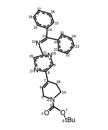 CC(C)(C)OC(=O)N1CC=C(c2cnc(N=C(c3ccccc3)c3ccccc3)cn2)CC1